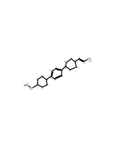 CCCOC1CCC(c2ccc(C3CCC(C=CC(F)(F)F)CC3)cc2)CC1